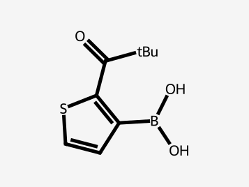 CC(C)(C)C(=O)c1sccc1B(O)O